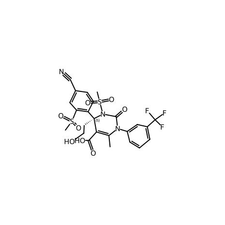 CC1=C(C(=O)O)[C@@](CCO)(c2ccc(C#N)cc2S(C)(=O)=O)N(S(C)(=O)=O)C(=O)N1c1cccc(C(F)(F)F)c1